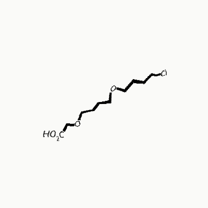 O=C(O)COCCCCOCCCCCl